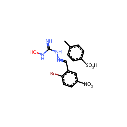 Cc1ccc(S(=O)(=O)O)cc1.N=C(NO)N/N=C/c1cc([N+](=O)[O-])ccc1Br